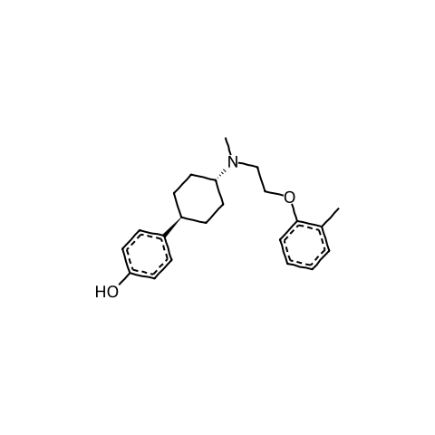 Cc1ccccc1OCCN(C)[C@H]1CC[C@H](c2ccc(O)cc2)CC1